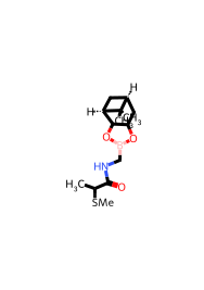 CSC(C)C(=O)NCB1OC2C[C@@H]3C[C@H](C2O1)C3(C)C